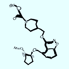 CO[C@H]1CCC[C@@H]1Oc1cccc2onc(OCC3CCN(C(=O)OC(C)(C)C)CC3)c12